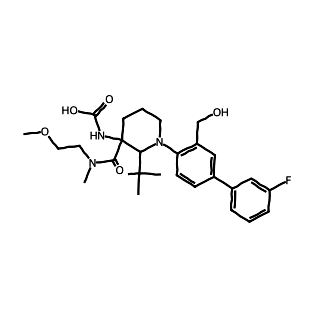 COCCN(C)C(=O)C1(NC(=O)O)CCCN(c2ccc(-c3cccc(F)c3)cc2CO)C1C(C)(C)C